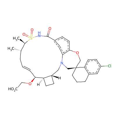 C[C@@H]1[C@@H](C)C/C=C/[C@H](OCC(=O)O)[C@@H]2CC[C@H]2CN2C[C@@]3(CCCc4cc(Cl)ccc43)COc3ccc(cc32)C(=O)NS1(=O)=O